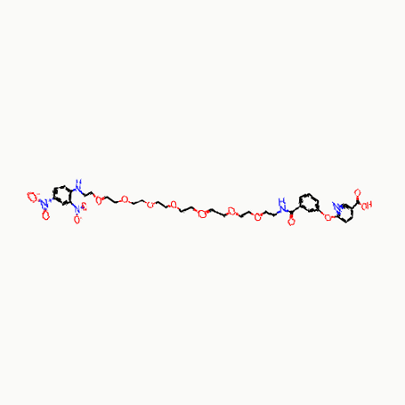 O=C(O)c1ccc(Oc2cccc(C(=O)NCCOCCOCCOCCOCCOCCOCCOCCNc3ccc([N+](=O)[O-])cc3[N+](=O)[O-])c2)nc1